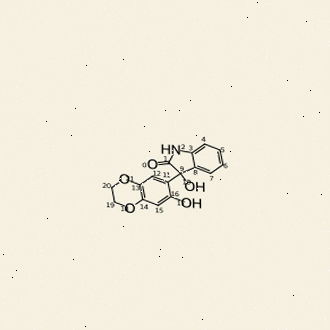 O=C1Nc2ccccc2C1(O)c1cc2c(cc1O)OCCO2